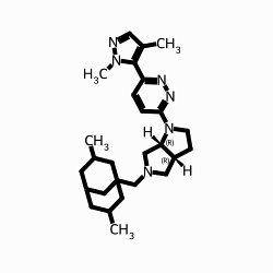 Cc1cnn(C)c1-c1ccc(N2CC[C@@H]3CN(CC45CC(C)CC(CC(C)C4)C5)C[C@@H]32)nn1